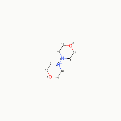 C1CN([N+]2CCOCC2)CCO1